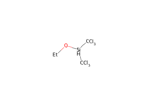 CCO[SiH](C(Cl)(Cl)Cl)C(Cl)(Cl)Cl